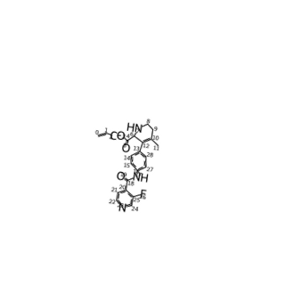 C=CCOC(=O)C1NCCC(C)=C1c1ccc(NC(=O)c2ccncc2F)cc1